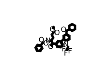 COC(=O)CC/C(=N/OC(=O)c1ccccc1)C(=O)c1ccc2c(c1)c1cc(C(=O)C3CCCCC3)ccc1n2CC(F)(F)F